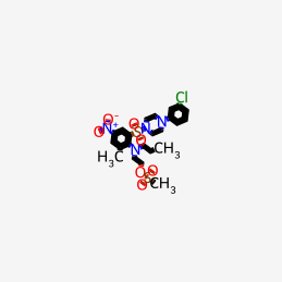 CCCN(CCOS(C)(=O)=O)c1c(C)cc([N+](=O)[O-])cc1S(=O)(=O)N1CCN(c2cccc(Cl)c2)CC1